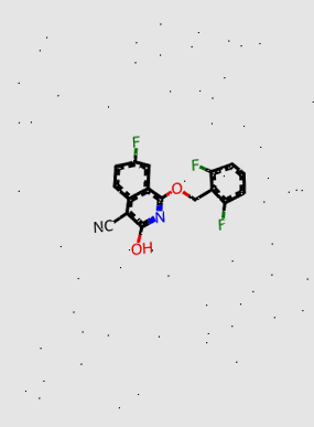 N#Cc1c(O)nc(OCc2c(F)cccc2F)c2cc(F)ccc12